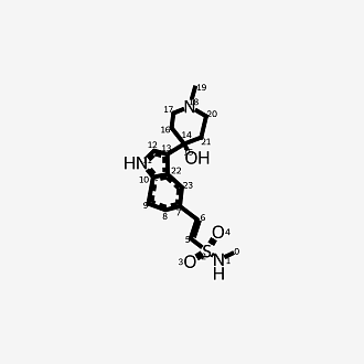 CNS(=O)(=O)/C=C/c1ccc2[nH]cc(C3(O)CCN(C)CC3)c2c1